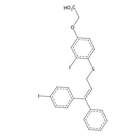 O=C(O)COc1ccc(SCC=C(c2ccccc2)c2ccc(I)cc2)c(I)c1